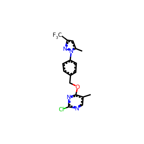 Cc1cnc(Cl)nc1OCc1ccc(-n2nc(C(F)(F)F)cc2C)cc1